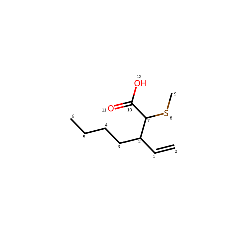 C=CC(CCCC)C(SC)C(=O)O